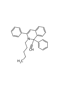 C#CC1(c2ccccc2)c2ccccc2C=C(c2ccccc2)N1CCCCC